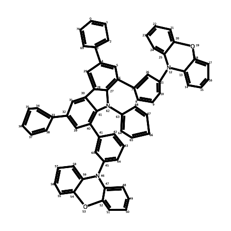 c1ccc(-c2cc(-c3cccc(N4c5ccccc5Oc5ccccc54)c3)c3c(c2)c2cc(-c4ccccc4)cc(-c4cccc(N5c6ccccc6Oc6ccccc65)c4)c2n3-c2ccccc2)cc1